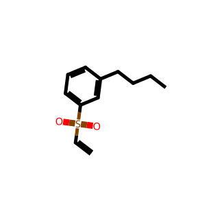 C=CS(=O)(=O)c1cccc(CCCC)c1